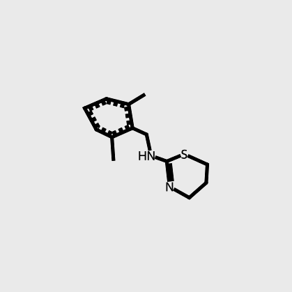 Cc1cccc(C)c1CNC1=NCCCS1